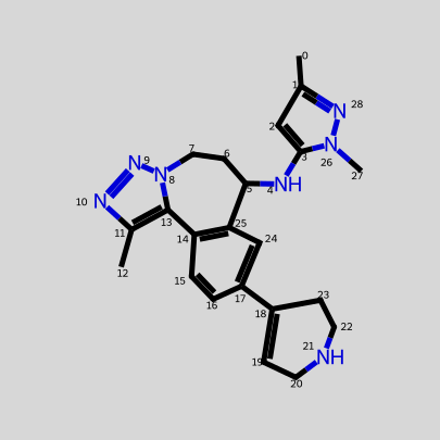 Cc1cc(NC2CCn3nnc(C)c3-c3ccc(C4=CCNCC4)cc32)n(C)n1